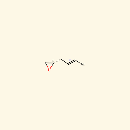 CC(=O)/C=C/C[C@H]1CO1